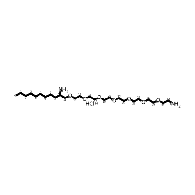 CCCCCCCCCC(N)COCCOCCOCCOCCOCCOCCOCCN.Cl